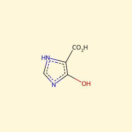 O=C(O)c1[nH]cnc1O